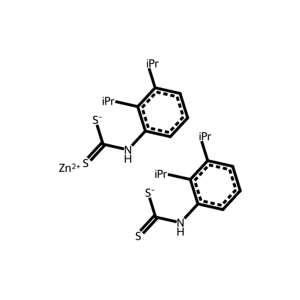 CC(C)c1cccc(NC(=S)[S-])c1C(C)C.CC(C)c1cccc(NC(=S)[S-])c1C(C)C.[Zn+2]